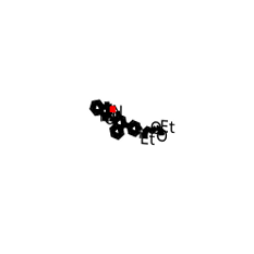 CCC(=O)OCCN(CC)c1ccc(-c2cc3c(c4ccccc24)OC2(C=N3)N(C)c3ccccc3C2(C)C)cc1